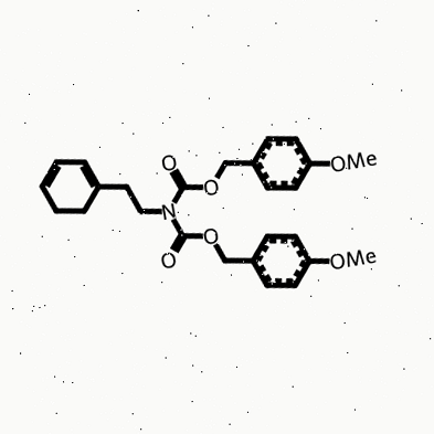 COc1ccc(COC(=O)N(CCC2=CC=CCC2)C(=O)OCc2ccc(OC)cc2)cc1